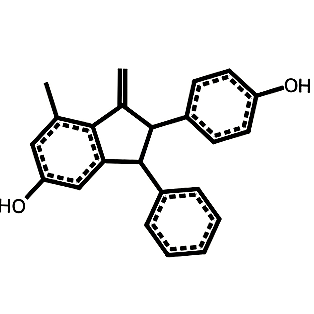 C=C1c2c(C)cc(O)cc2C(c2ccccc2)C1c1ccc(O)cc1